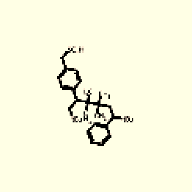 CC(C)(C)CC(c1ccc(CS(=O)(=O)O)cc1)C(C)(C)C(C)(C)CC(c1ccccc1)C(C)(C)C